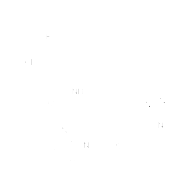 CN1C(C(=O)Nc2ccc(F)c(Cl)c2)=CC(c2cc(-c3nncn3C)cs2)=NS1(=O)=O